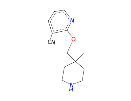 CC1(COc2ncccc2C#N)CCNCC1